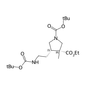 CCOC(=O)[C@@]1(C)CN(C(=O)OC(C)(C)C)C[C@H]1CCNC(=O)OC(C)(C)C